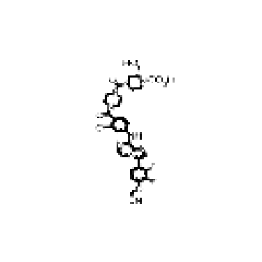 N#CCOc1ccc(-c2cnc3c(Nc4ccc(C(=O)N5CCN(C(=O)N6CCN(C(=O)O)[C@@H](CO)C6)CC5)c(Cl)c4)nccn23)c(F)c1F